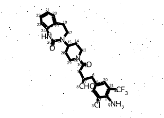 Nc1c(Cl)cc(CC(C=O)CC(=O)N2CCC(N3CCc4ccccc4NC3=O)CC2)cc1C(F)(F)F